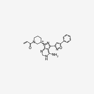 C=CC(=O)N1CCC[C@@H](n2nc(-c3cc(-c4ccccc4)on3)c3c2=NCNC=3N)C1